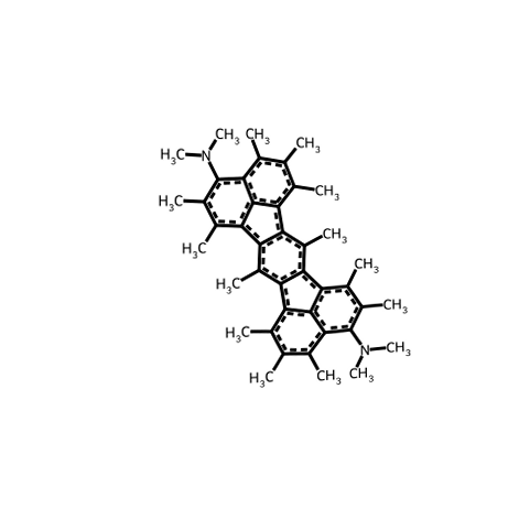 Cc1c(C)c2c(N(C)C)c(C)c(C)c3c4c(C)c5c(c(C)c4c(c1C)c23)c1c(C)c(C)c(N(C)C)c2c(C)c(C)c(C)c5c21